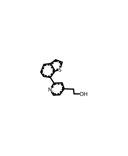 OCCc1ccnc(-c2cccc3ccsc23)c1